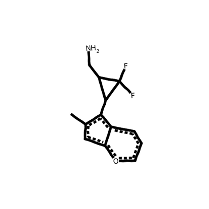 Cc1cc2occcc-2c1C1C(CN)C1(F)F